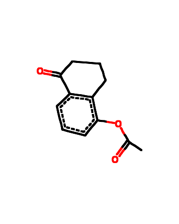 CC(=O)Oc1cccc2c1CCCC2=O